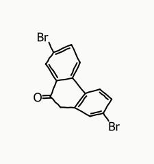 O=C1Cc2cc(Br)ccc2-c2ccc(Br)cc21